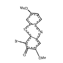 COc1ccc2nc3cc(OC)c(=O)c(Br)c-3sc2c1